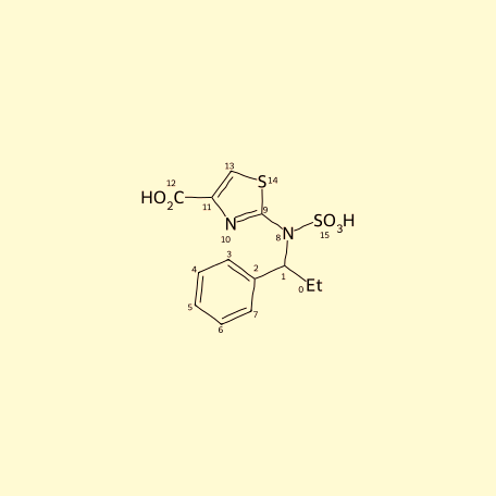 CCC(c1ccccc1)N(c1nc(C(=O)O)cs1)S(=O)(=O)O